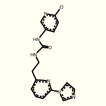 O=C(NCCc1cccc(-n2ccnc2)n1)Nc1ccc(Cl)nc1